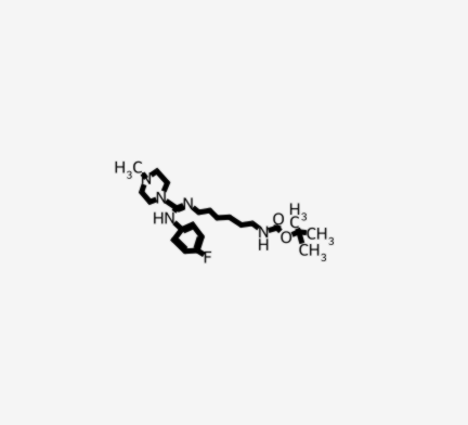 CN1CCN(C(=NCCCCCCNC(=O)OC(C)(C)C)Nc2ccc(F)cc2)CC1